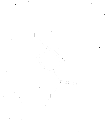 NC(=O)c1ccc(N)cn1